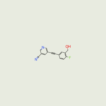 N#Cc1cncc(C#Cc2ccc(F)c(CO)c2)c1